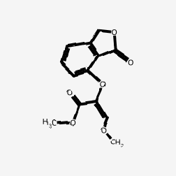 CO/C=C(/Oc1cccc2c1C(=O)OC2)C(=O)OC